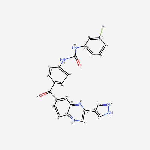 O=C(Nc1ccc(C(=O)c2ccc3ncc(-c4cn[nH]c4)nc3c2)cc1)Nc1cccc(F)c1